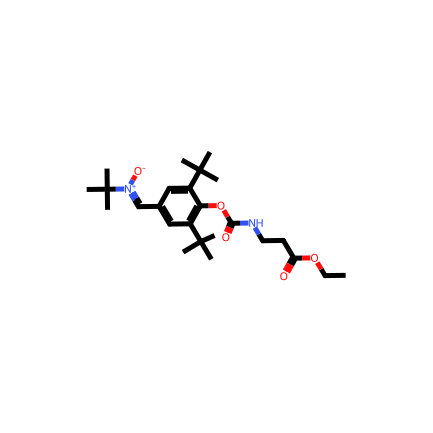 CCOC(=O)CCNC(=O)Oc1c(C(C)(C)C)cc(C=[N+]([O-])C(C)(C)C)cc1C(C)(C)C